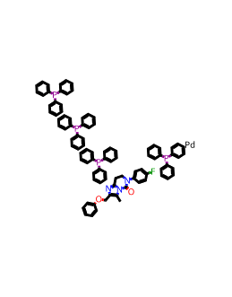 Cc1c(COc2ccccc2)nc2n1C(=O)N(c1ccc(F)cc1)CC2.[Pd].c1ccc(P(c2ccccc2)c2ccccc2)cc1.c1ccc(P(c2ccccc2)c2ccccc2)cc1.c1ccc(P(c2ccccc2)c2ccccc2)cc1.c1ccc(P(c2ccccc2)c2ccccc2)cc1